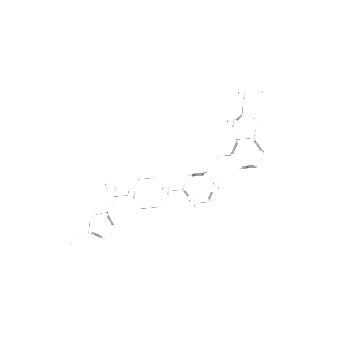 CC(=O)Nc1nc2c(Oc3cc(N4CCN([C@H](C)c5ccc(Br)s5)CC4)ncn3)cccc2s1